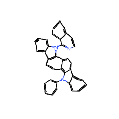 c1ccc(-n2c3ccccc3c3ccc4c(ccc5c6ccccc6n(-c6nccc7ccccc67)c54)c32)cc1